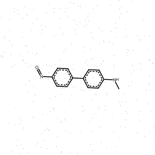 CNc1ccc(-c2ccc(N=O)cc2)cc1